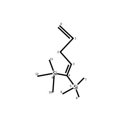 C=CCC=C([Si](C)(C)C)[Si](C)(C)C